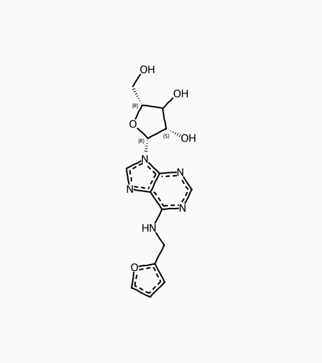 OC[C@H]1O[C@@H](n2cnc3c(NCc4ccco4)ncnc32)[C@@H](O)C1O